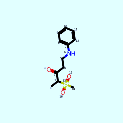 CC(C(=O)CCNc1ccccc1)S(C)(=O)=O